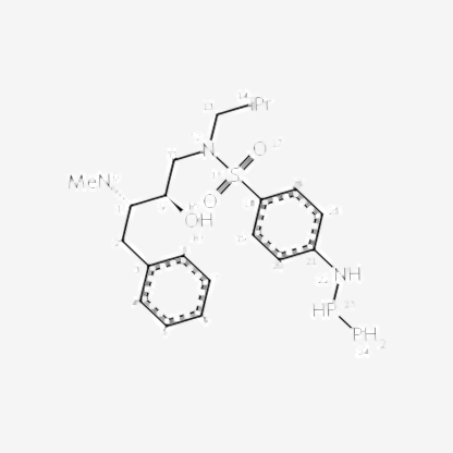 CN[C@@H](Cc1ccccc1)[C@H](O)CN(CC(C)C)S(=O)(=O)c1ccc(NPP)cc1